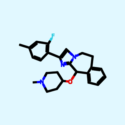 Cc1ccc(-c2cn3c(n2)C(OC2CCN(C)CC2)c2ccccc2CC3)c(F)c1